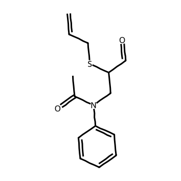 C=CCSC(C=O)CN(C(C)=O)c1ccccc1